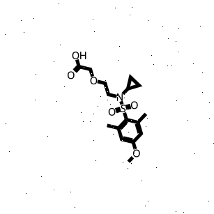 COc1cc(C)c(S(=O)(=O)N(CCOCC(=O)O)C2CC2)c(C)c1